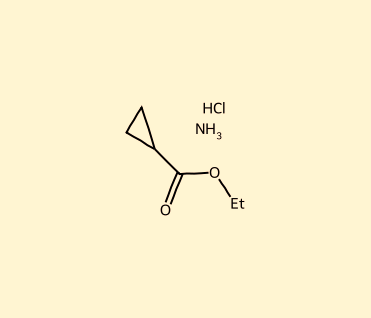 CCOC(=O)C1CC1.Cl.N